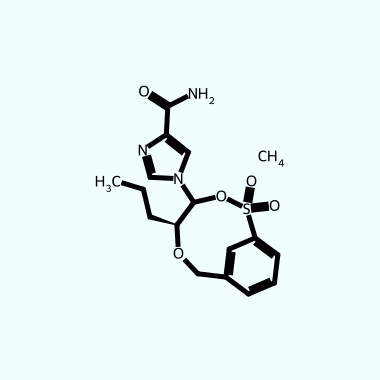 C.CCC[C@@H]1OCc2cccc(c2)S(=O)(=O)OC1n1cnc(C(N)=O)c1